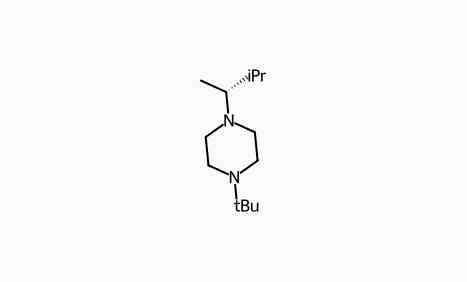 CC(C)[C@@H](C)N1CCN(C(C)(C)C)CC1